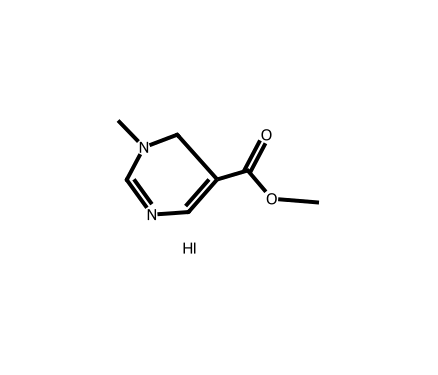 COC(=O)C1=CN=CN(C)C1.I